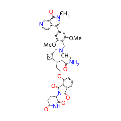 COc1cc(-c2cn(C)c(=O)c3cnccc23)cc(OC)c1CN(C)CC1C2CC1(C(CCOc1cccc3c1C(=O)N(C1CCC(=O)NC1=O)C3=O)CC(N)=O)C2